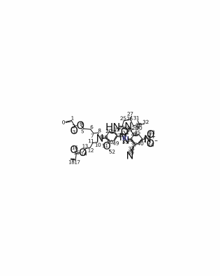 C=CC(=O)OCCCCN(CCCCOC(=O)C=C)c1cc(NC(=O)CC(C)CC(C)(C)C)c(/N=N/c2c(C#N)cc([N+](=O)[O-])cc2C#N)cc1OC